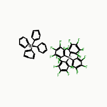 Fc1c(F)c(F)c([B-](c2c(F)c(F)c(F)c(F)c2F)(c2c(F)c(F)c(F)c(F)c2F)c2c(F)c(F)c(F)c(F)c2F)c(F)c1F.c1cc[c]([Bi]([c]2ccccc2)([c]2ccccc2)[c]2ccccc2)cc1